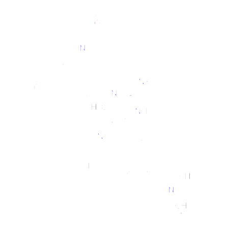 Cc1nc(C)c(Nc2ncc3c(n2)-c2ccc(Cl)cc2NC(=O)C3)cc1CCCN(C)C